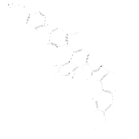 COc1ccc(-c2ccc(-c3ccc(-c4ccc(-c5ccc(CC(C)C)cc5)s4)c4nsnc34)c(F)c2)cc1